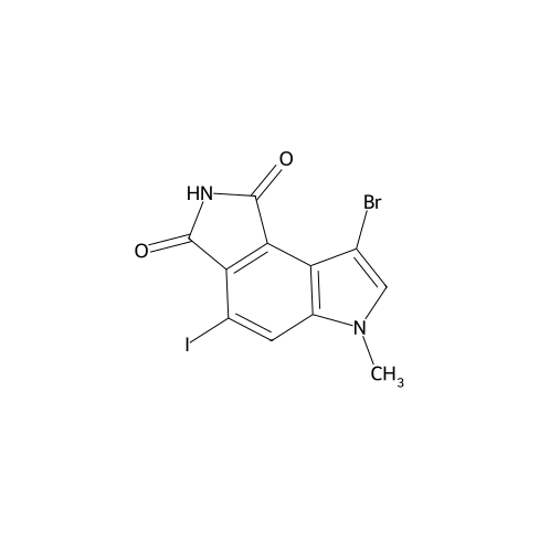 Cn1cc(Br)c2c3c(c(I)cc21)C(=O)NC3=O